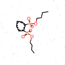 CCCCOS(=O)(=O)c1ccccc1S(=O)(=O)OCCCC